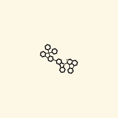 c1ccc(C2(c3ccccc3)c3ccccc3-c3ccc(-c4ccc5c(c4)c4ccccc4n5-c4ncc5cccc6c5c4-c4ccccc4-6)cc32)cc1